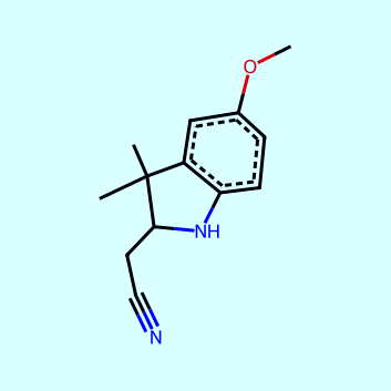 COc1ccc2c(c1)C(C)(C)C(CC#N)N2